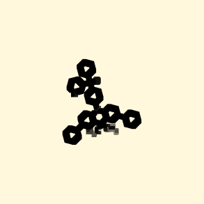 CC1(C)c2cc(-c3ccccc3)ccc2N(c2ccc(P(=O)(c3ccccc3)c3cccnc3)cc2)c2ccc(-c3ccccc3)cc21